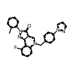 Cc1ccccc1-n1nc2c3c(F)cccc3n(Cc3ccc(-n4cccn4)cc3)cc-2c1=O